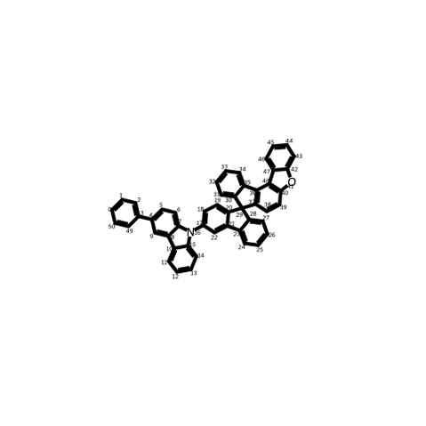 c1ccc(-c2ccc3c(c2)c2ccccc2n3-c2ccc3c(c2)-c2ccccc2C32c3ccccc3-c3c2ccc2oc4ccccc4c32)cc1